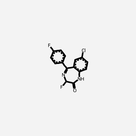 O=C1Nc2ccc(Cl)cc2C(c2ccc(F)cc2)=NC1F